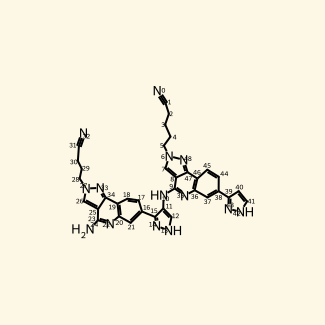 N#CCCCCn1cc2c(Nc3c[nH]nc3-c3ccc4c(c3)nc(N)c3cn(CCCC#N)nc34)nc3cc(-c4cc[nH]n4)ccc3c2n1